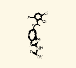 CC(Oc1ccc2nc(NC(=O)O)sc2c1)c1c(F)ccc(Cl)c1Cl